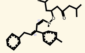 Cc1ccc(C(/C=C\N(C)OC(CC(=O)CC(C)C)CC(C)C)=C/Cc2ccccc2)cc1